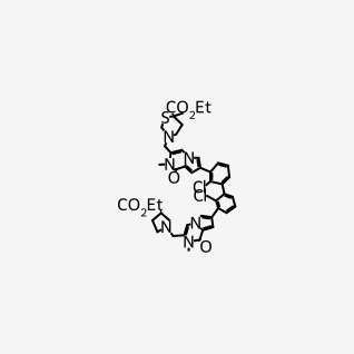 CCOC(=O)[C@H]1CCN(Cc2cn3cc(-c4cccc(-c5cccc(-c6cc7c(=O)n(C)c(CN8CC[C@](C)(C(=O)OCC)SC8)cn7c6)c5Cl)c4Cl)cc3c(=O)n2C)C1